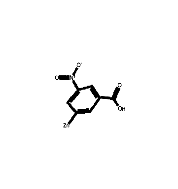 O=C(O)c1c[c]([Zn])cc([N+](=O)[O-])c1